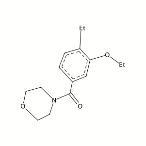 CCOc1cc(C(=O)N2CCOCC2)ccc1CC